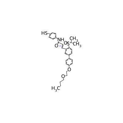 CCCCOCCOc1ccc(-c2ccc([S+]([O-])C(C)C)c(/C=C/C(=O)Nc3ccc(S)cc3)c2)cc1